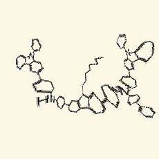 CCCCCCCCC1c2cc(-c3ccc(Nc4ccc(-c5ccc6c(c5)c5ccccc5n6-c5ccccc5)cc4)cc3)ccc2-c2ccc(-c3ccc(N(c4ccc(-c5ccccc5)cc4)c4ccc(-c5ccc6c(c5)c5ccccc5n6-c5ccccc5)cc4)cc3)cc21